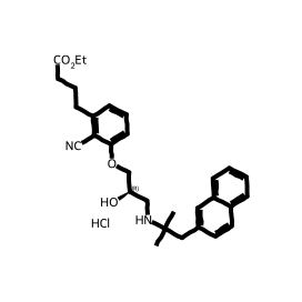 CCOC(=O)CCCc1cccc(OC[C@H](O)CNC(C)(C)Cc2ccc3ccccc3c2)c1C#N.Cl